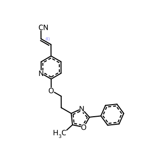 Cc1oc(-c2ccccc2)nc1CCOc1ccc(/C=C/C#N)cn1